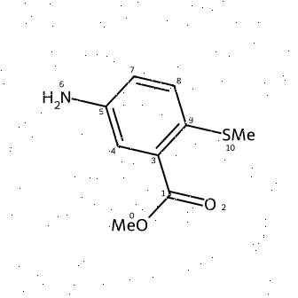 COC(=O)c1cc(N)ccc1SC